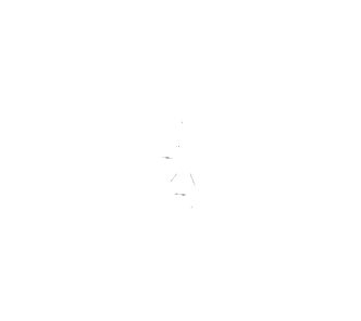 CCN(CC)CNC(=O)c1ccc([123I])cc1